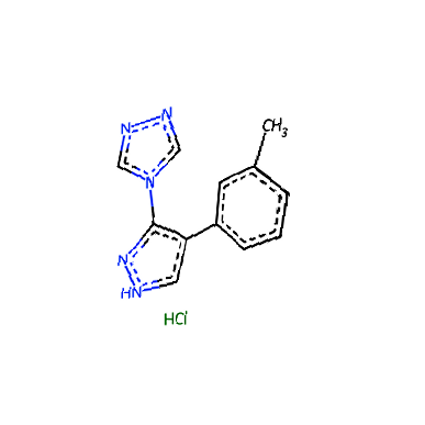 Cc1cccc(-c2c[nH]nc2-n2cnnc2)c1.Cl